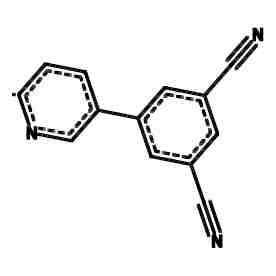 N#Cc1cc(C#N)cc(-c2cc[c]nc2)c1